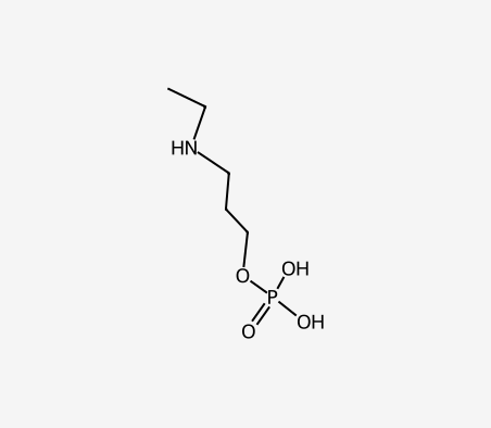 CCNCCCOP(=O)(O)O